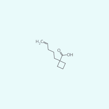 C=CCCCC1(C(=O)O)CCC1